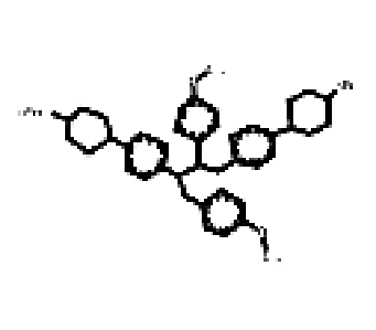 CCCCCC1CCC(c2ccc(C(Cc3ccc(OC(F)(F)F)cc3)C(Cc3ccc(C4CCC(CCCC)CC4)cc3)c3ccc(OC(F)(F)F)cc3)cc2)CC1